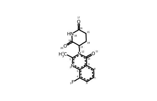 Cc1nc2c(F)cccc2c(=O)n1C1CCC(=O)NC1=O